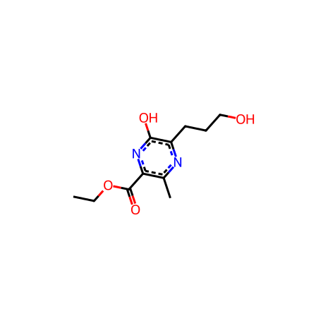 CCOC(=O)c1nc(O)c(CCCO)nc1C